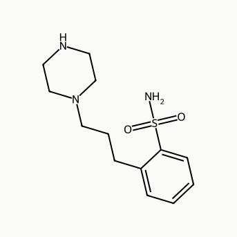 NS(=O)(=O)c1ccccc1CCCN1CCNCC1